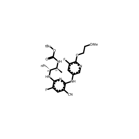 CCC[C@@H](Nc1nc(Nc2cnc(OCCOC)c(F)c2)c(C#N)cc1F)[C@H](C)NC(=O)OC(C)(C)C